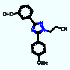 COc1ccc(-c2nc(-c3cccc(C=O)c3)nn2CCC#N)cc1